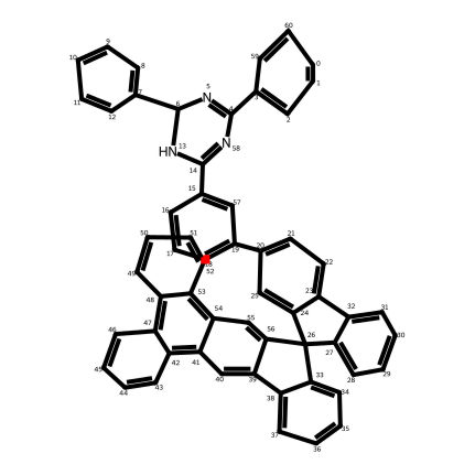 c1ccc(C2=NC(c3ccccc3)NC(c3cccc(-c4ccc5c(c4)C4(c6ccccc6-5)c5ccccc5-c5cc6c7ccccc7c7ccccc7c6cc54)c3)=N2)cc1